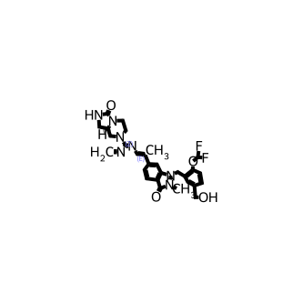 C=N/C(=N\C=C(/C)c1ccc2c(=O)n(C)n(Cc3cc(CO)ccc3OC(F)F)c2c1)N1CCN2C(=O)NC[C@@H]2C1